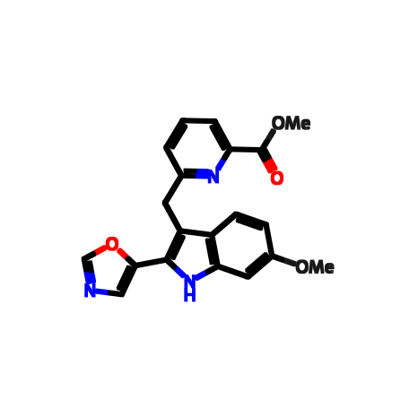 COC(=O)c1cccc(Cc2c(-c3cnco3)[nH]c3cc(OC)ccc23)n1